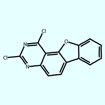 Clc1nc(Cl)c2c(ccc3c4ccccc4oc32)n1